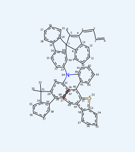 C=C/C=C\C1=C(C)C2(c3ccccc31)c1ccccc1-c1ccc(N(c3ccc4c(c3)C(C)(C)c3ccccc3-4)c3ccccc3-c3cccc4c3sc3ccccc34)cc12